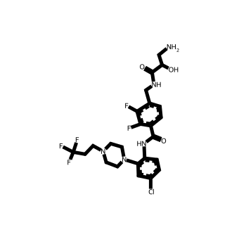 NCC(O)C(=O)NCc1ccc(C(=O)Nc2ccc(Cl)cc2N2CCN(CCC(F)(F)F)CC2)c(F)c1F